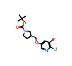 CC(C)(C)OC(=O)N1CC[C@H](COc2cnc(Cl)c(Br)c2)C1